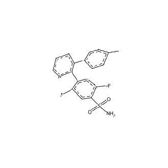 Cc1ccc(-c2cccnc2-c2cc(F)c(S(N)(=O)=O)cc2F)cc1